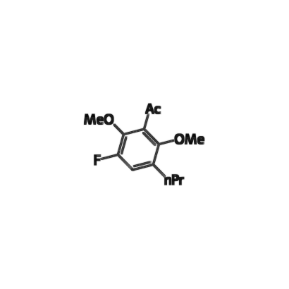 CCCc1cc(F)c(OC)c(C(C)=O)c1OC